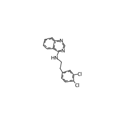 Clc1ccc(CCNc2ncnc3ccccc23)cc1Cl